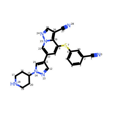 N#Cc1cccc(Sc2cc(-c3cnn(C4CCNCC4)c3)cn3ncc(C#N)c23)c1